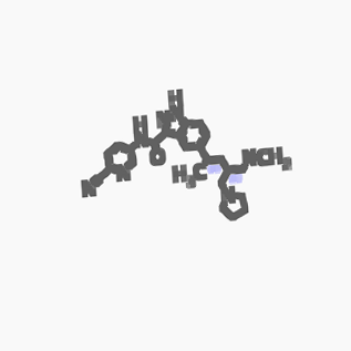 C=N/C=C(\C=C(/C)c1ccc2[nH]nc(C(=O)Nc3ccc(C#N)nc3)c2c1)CN1CCCC1